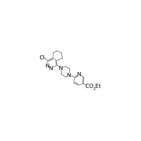 CCOC(=O)c1ccc(N2CCN(c3nnc(Cl)c4c3CCCC4)CC2)nc1